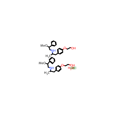 COC(CNC(C)Cc1ccc(OCCO)cc1)c1ccccc1.COC(CNC(C)Cc1ccc(OCCO)cc1)c1ccccc1.Cl.Cl.O